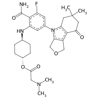 CN(C)CC(=O)O[C@H]1CC[C@H](Nc2cc(-n3c4c(c5c3CC(C)(C)CC5=O)COC4)cc(F)c2C(N)=O)CC1